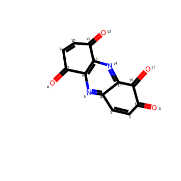 O=c1ccc2nc3c(=O)ccc(=O)c3nc2c1=O